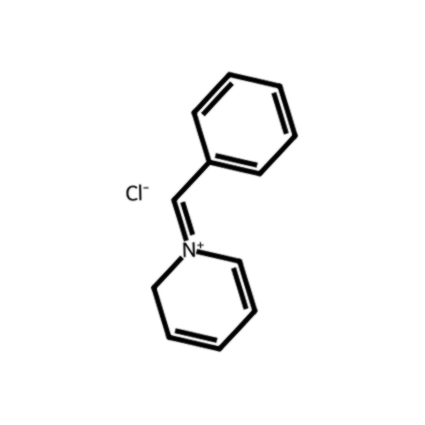 C1=CC[N+](=Cc2ccccc2)C=C1.[Cl-]